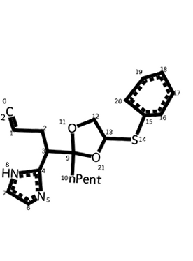 C=CCC(c1ncc[nH]1)C1(CCCCC)OCC(Sc2ccccc2)O1